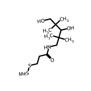 CSSCCC(=O)NCC(C)(C)C(O)C(C)(C)CO